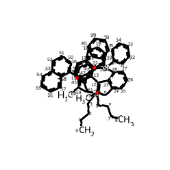 CCC[CH2][Zr]1([CH2]CCC)[CH]2C(C)=C(c3cccc4ccccc34)c3c2cccc3[Si](c2ccccc2)(c2ccccc2)c2cccc3c2C(c2cccc4ccccc24)=C(C)[CH]31